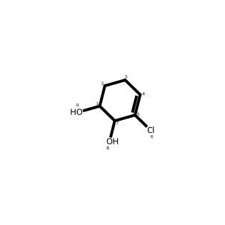 OC1CCC=C(Cl)C1O